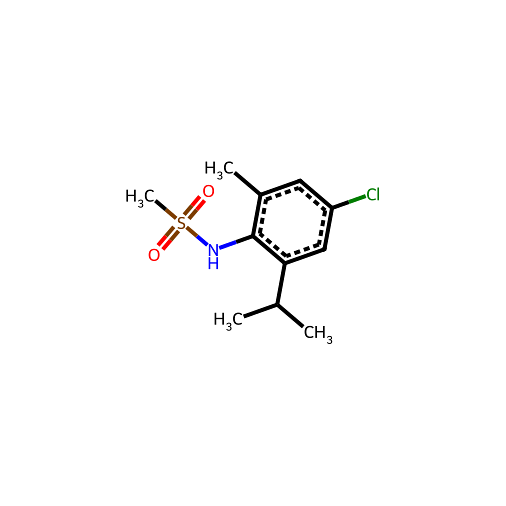 Cc1cc(Cl)cc(C(C)C)c1NS(C)(=O)=O